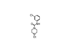 CCN1CCN(C(=O)Nc2cccc(Cl)c2)CC1